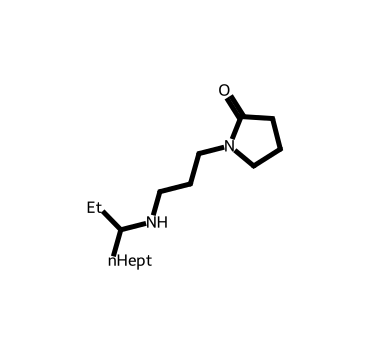 CCCCCCCC(CC)NCCCN1CCCC1=O